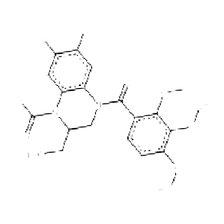 CCC1CN(C(=O)c2ccc(OC)c(OC)c2OC)c2cc(C)c(C)cc2N1C(=O)O